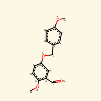 COc1ccc(COc2ccc(OC)c(C=O)c2)cc1